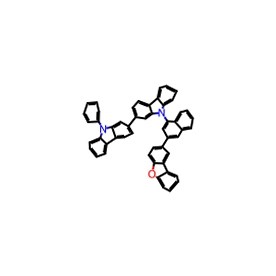 c1ccc(-n2c3ccccc3c3ccc(-c4ccc5c6ccccc6n(-c6cc(-c7ccc8oc9ccccc9c8c7)cc7ccccc67)c5c4)cc32)cc1